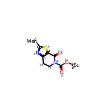 CNc1nc2c(s1)C(=O)N(C(=O)OC(C)(C)C)CC2